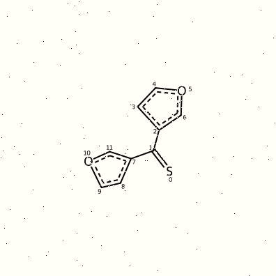 S=C(c1ccoc1)c1ccoc1